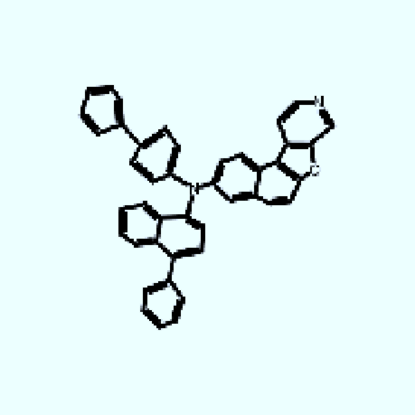 c1ccc(-c2ccc(N(c3ccc4c(ccc5oc6cnccc6c54)c3)c3ccc(-c4ccccc4)c4ccccc34)cc2)cc1